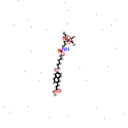 CCO[Si](CCCNC(=O)OCCCCCCOc1ccc2cc(C=CC(=O)OC)ccc2c1)(OCC)OCC